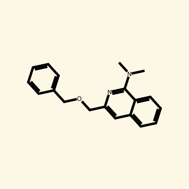 CN(C)c1nc(COCc2ccccc2)cc2ccccc12